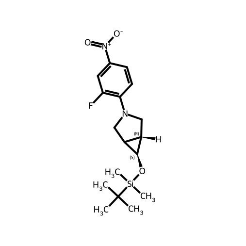 CC(C)(C)[Si](C)(C)O[C@H]1C2CN(c3ccc([N+](=O)[O-])cc3F)C[C@@H]21